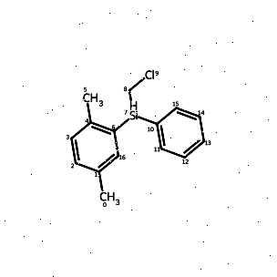 Cc1ccc(C)c([SiH](CCl)c2ccccc2)c1